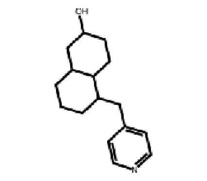 OC1CCC2C(Cc3ccncc3)CCCC2C1